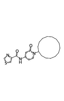 O=C(Nc1ccn(C2CCCCCCCCCCCCC2)c(=O)c1)c1cscn1